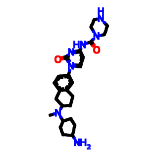 CN(C1CCC(N)CC1)C1CCc2cc(-n3ccc(NC(=O)N4CCNCC4)nc3=O)ccc2C1